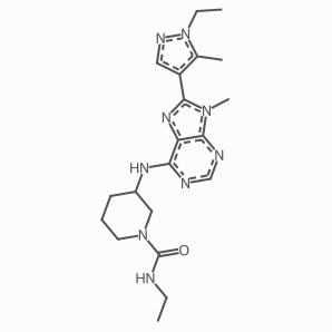 CCNC(=O)N1CCCC(Nc2ncnc3c2nc(-c2cnn(CC)c2C)n3C)C1